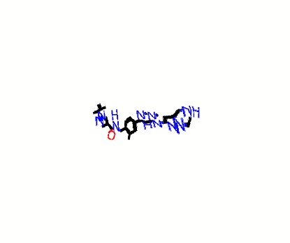 C=N/C(=C\C(=N/C)c1ccc(CNC(=O)c2cnn(C(C)(C)C)c2)c(C)c1)Nc1cc2n(n1)CCNC2